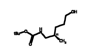 C[C@H](CCCO)CNC(=O)OC(C)(C)C